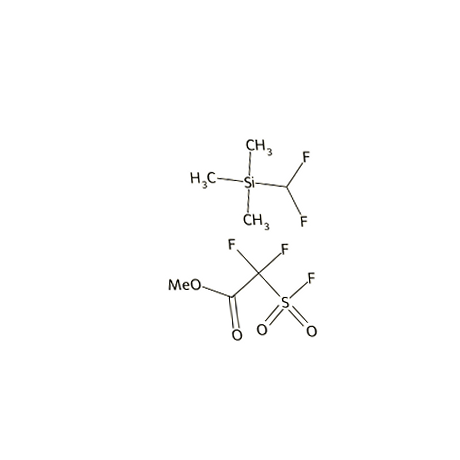 COC(=O)C(F)(F)S(=O)(=O)F.C[Si](C)(C)C(F)F